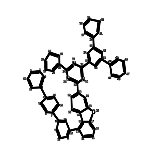 c1ccc(-c2ccc(-c3cccc(-c4cccc5oc6cc(-c7nc(-c8ccccc8)nc(-c8cc(-c9ccccc9)cc(-c9ccccc9)c8)n7)ccc6c45)c3)cc2)cc1